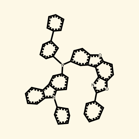 c1ccc(-c2cccc(N(c3ccc4oc5ccc6oc(-c7ccccc7)nc6c5c4c3)c3ccc4c(c3)c3ccccc3n4-c3ccccc3)c2)cc1